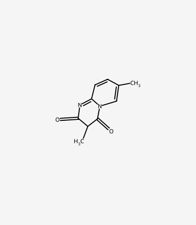 CC1=CN2C(=O)C(C)C(=O)N=C2C=C1